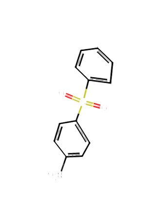 O=[N+]([O-])c1ccc(S(=O)(=O)c2cc[c]cc2)cc1